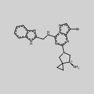 N[C@@H]1CN(c2nc(NCc3nc4ccccc4[nH]3)n3ncc(Br)c3n2)CC12CC2